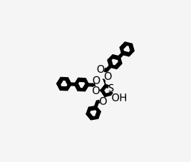 O=C(OC[C@H]1SC(O)[C@H](OCc2ccccc2)[C@H]1OC(=O)c1ccc(-c2ccccc2)cc1)c1ccc(-c2ccccc2)cc1